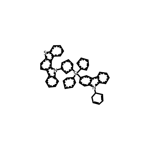 C1=CCC(n2c3ccccc3c3cc([Si](c4ccccc4)(c4ccccc4)c4cccc(-n5c6ccccc6c6ccc7sc8ccccc8c7c65)c4)ccc32)C=C1